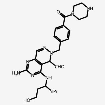 CCCC(CCO)Nc1nc(N)nc2c1C(C=O)N(Cc1ccc(C(=O)N3CCNCC3)cc1)N=C2